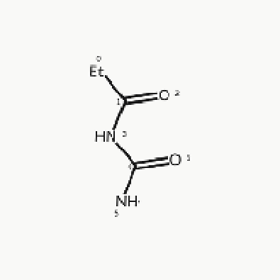 CCC(=O)NC([NH])=O